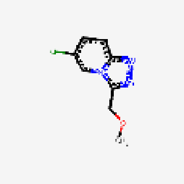 COCc1nnc2ccc(Cl)cn12